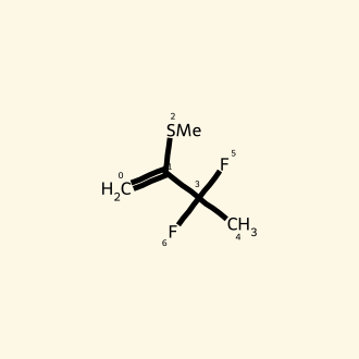 C=C(SC)C(C)(F)F